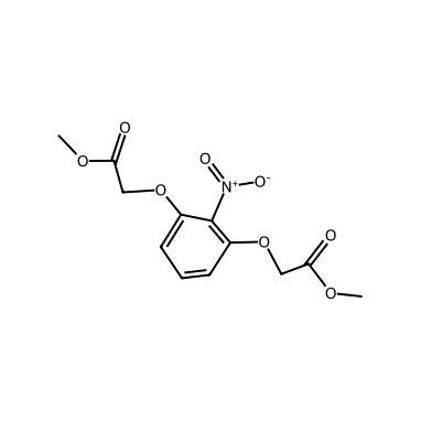 COC(=O)COc1cccc(OCC(=O)OC)c1[N+](=O)[O-]